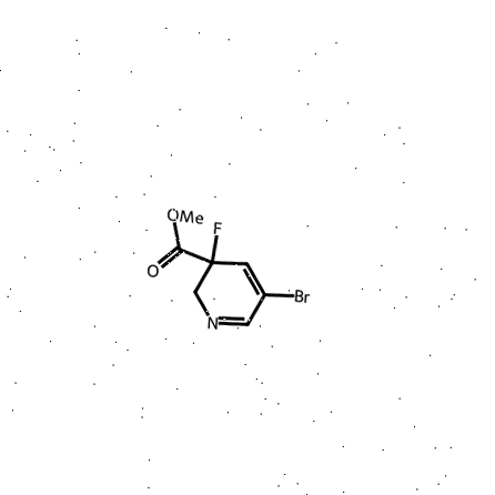 COC(=O)C1(F)C=C(Br)C=NC1